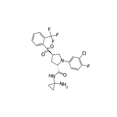 NC1(NC(=O)[C@@H]2C[C@@H](S(=O)(=O)c3ccccc3C(F)(F)F)CN2c2ccc(F)c(Cl)c2)CC1